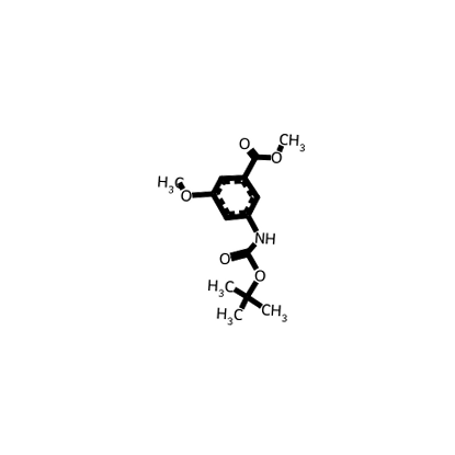 COC(=O)c1cc(NC(=O)OC(C)(C)C)cc(OC)c1